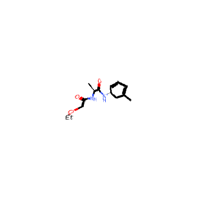 CCOCC(=O)N[C@@H](C)C(=O)N[C@@H]1C=[C]C=C(C)C1